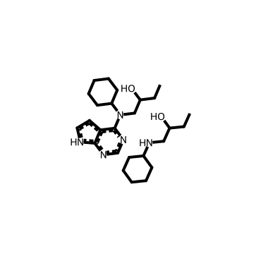 CCC(O)CN(c1ncnc2[nH]ccc12)C1CCCCC1.CCC(O)CNC1CCCCC1